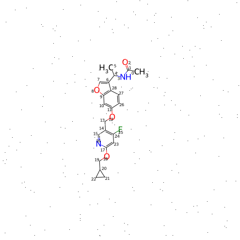 CC(=O)NC(C)c1coc2cc(OCc3cnc(OCC4CC4)cc3F)ccc12